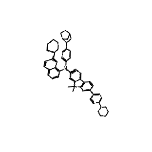 CC1(C)c2cc(-c3ccc(C4CCCCC4)cc3)ccc2-c2ccc(N(c3ccc(C4CC5CCC4C5)cc3)c3cccc4ccc(C5CCCCC5)cc34)cc21